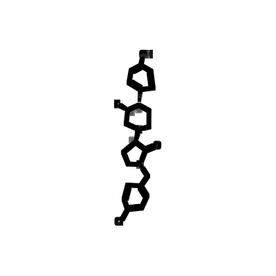 O=C1[C@H](N2CC[C@@H](c3ccc(O)cc3)[C@H](F)C2)CCN1Cc1ccc(Cl)cc1